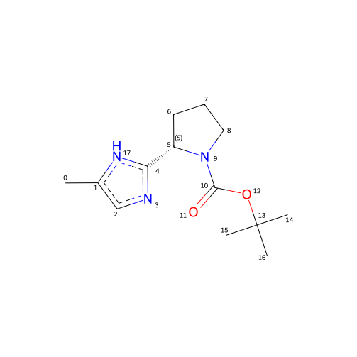 Cc1cnc([C@@H]2CCCN2C(=O)OC(C)(C)C)[nH]1